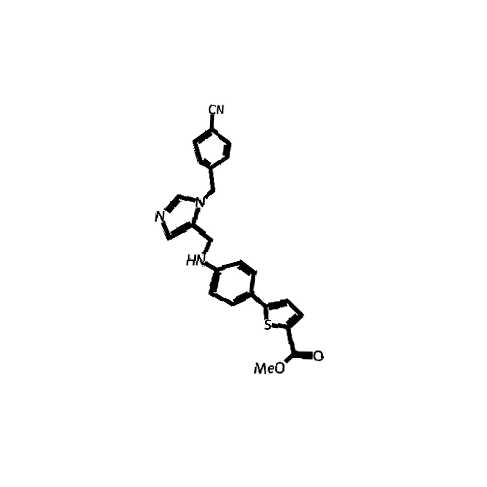 COC(=O)c1ccc(-c2ccc(NCc3cncn3Cc3ccc(C#N)cc3)cc2)s1